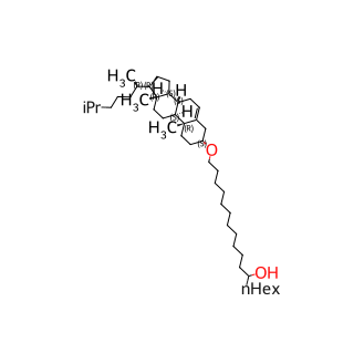 CCCCCCC(O)CCCCCCCCCCCO[C@H]1CC[C@@]2(C)C(=CC[C@H]3[C@@H]4CC[C@H]([C@H](C)CCCC(C)C)[C@@]4(C)CC[C@@H]32)C1